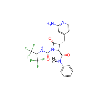 CN(C(=O)[C@@H]1[C@@H](Cc2ccnc(N)c2)C(=O)N1C(=O)NC(C(F)(F)F)C(F)(F)F)c1ccccc1